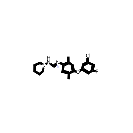 Cc1cc(Oc2cc(F)cc(Cl)c2)c(C)cc1/N=C/NN1CCCCC1